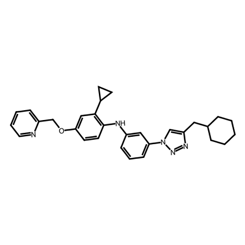 c1ccc(COc2ccc(Nc3cccc(-n4cc(CC5CCCCC5)nn4)c3)c(C3CC3)c2)nc1